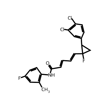 Cc1cc(F)ccc1NC(=O)/C=C/C=C/C1(F)CC1c1ccc(Cl)c(Cl)c1